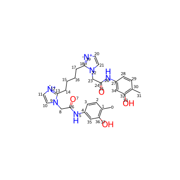 Cc1ccc(NC(=O)CN2C=C[N+]=C2CCCCC2=[N+]C=CN2CC(=O)Nc2ccc(C)c(O)c2)cc1O